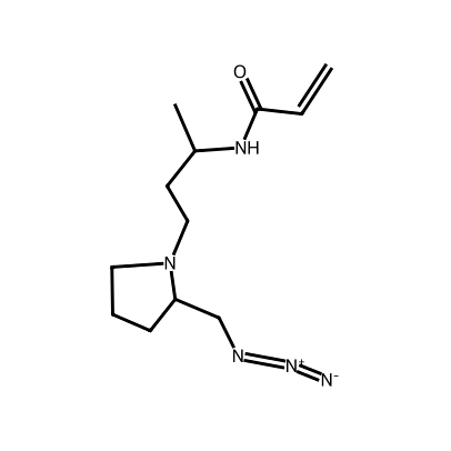 C=CC(=O)NC(C)CCN1CCCC1CN=[N+]=[N-]